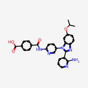 CC(C)Oc1ccc2nc(-c3cccnc3N)n(-c3ccc(NC(=O)c4ccc(C(=O)O)cc4)nc3)c2c1